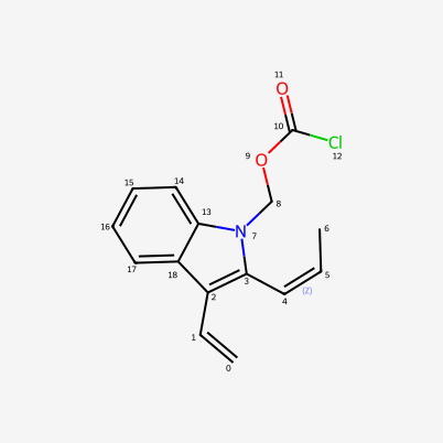 C=Cc1c(/C=C\C)n(COC(=O)Cl)c2ccccc12